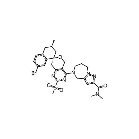 C[C@@H]1Cc2ccc(Br)cc2[C@@]2(Cc3nc(S(C)(=O)=O)nc(N4CCCn5nc(C(=O)N(C)C)cc5C4)c3CO2)C1